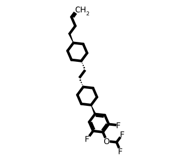 C=CCC[C@H]1CC[C@H](CC[C@H]2CC[C@H](c3cc(F)c(OC(F)F)c(F)c3)CC2)CC1